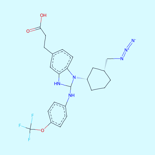 [N-]=[N+]=NC[C@@H]1CCC[C@H](N2c3ccc(CCC(=O)O)cc3NC2Nc2ccc(OC(F)(F)F)cc2)C1